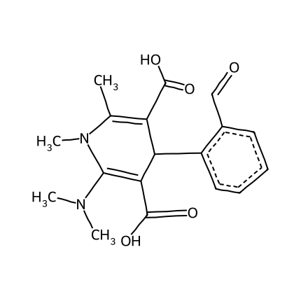 CC1=C(C(=O)O)C(c2ccccc2C=O)C(C(=O)O)=C(N(C)C)N1C